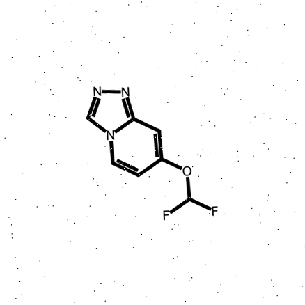 FC(F)Oc1ccn2cnnc2c1